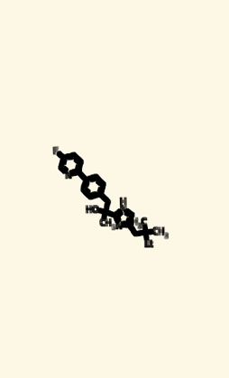 CCC(C)(C)Cc1c[nH]c(C(C)(O)Cc2ccc(-c3ccc(F)cn3)cc2)n1